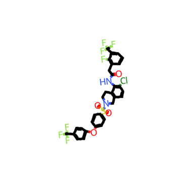 O=C(Cc1cccc(C(F)(F)F)c1F)Nc1c(Cl)ccc2c1CCN(S(=O)(=O)c1ccc(Oc3ccc(C(F)(F)F)cc3)cc1)C2